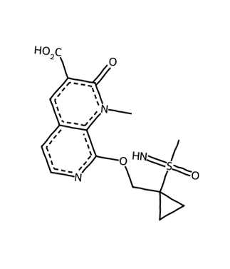 Cn1c(=O)c(C(=O)O)cc2ccnc(OCC3(S(C)(=N)=O)CC3)c21